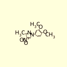 COc1ccc(-n2cc([N+](=O)[O-])c(C)n2)cc1OC